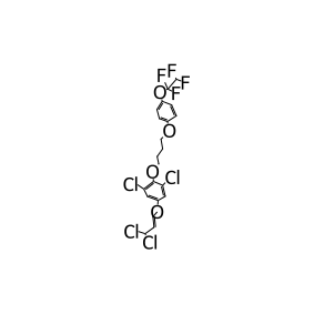 FC(F)C(F)(F)Oc1ccc(OCCCCOc2c(Cl)cc(OC=CC(Cl)Cl)cc2Cl)cc1